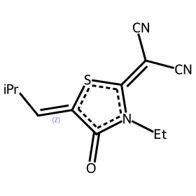 CCn1c(=C(C#N)C#N)s/c(=C\C(C)C)c1=O